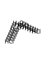 Cl.Cl.Cl.Cl.Cl.Cl.Cl.Cl.Cl.Cl.Cl.Cl.O.O.O.O.O